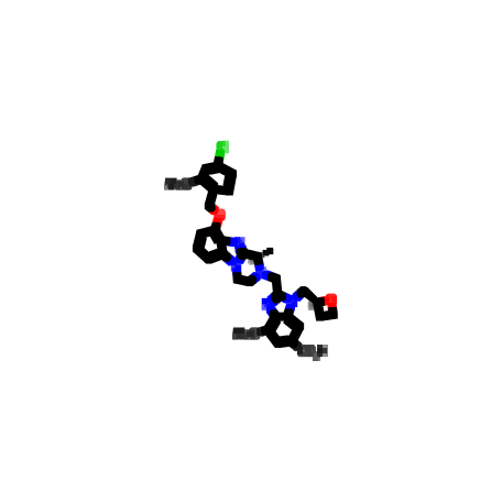 COc1cc(Cl)ccc1COc1cccc2c1nc1n2CCN(Cc2nc3c(OC)cc(C(=O)O)cc3n2C[C@@H]2CCO2)[C@H]1C